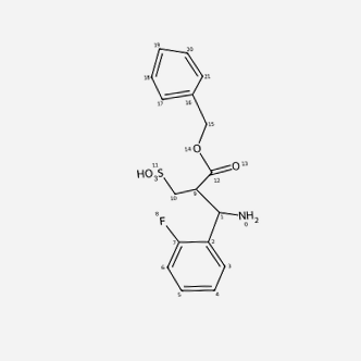 NC(c1ccccc1F)C(CS(=O)(=O)O)C(=O)OCc1ccccc1